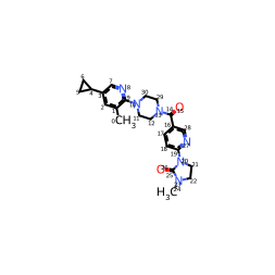 Cc1cc(C2CC2)cnc1N1CCN(C(=O)c2ccc(N3CCN(C)C3=O)nc2)CC1